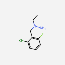 CCN(N)Cc1c(F)cccc1Cl